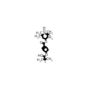 CC(C)(I)C(O)OC1CC2CC1CC2C(=O)OC1CC(C)(C)N(O)C(C)(C)C1